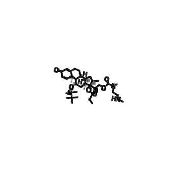 CCC(=O)O[C@]1(C(=O)COC(=O)N(C)CCNC)[C@H](C)C[C@H]2[C@@H]3CCC4=CC(=O)C=C[C@]4(C)C3[C@@H](O[Si](C)(C)C(C)(C)C)C[C@@]21C